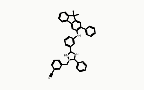 CC1(C)c2ccccc2-c2cc(Nc3cccc(C4NC(c5ccccc5)N(Cc5cccc(C#N)c5)N4)c3)c(-c3ccccc3)cc21